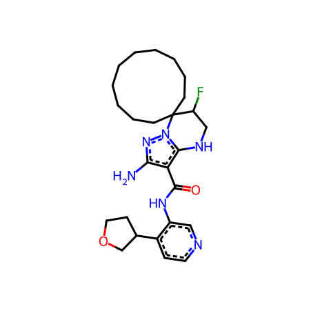 Nc1nn2c(c1C(=O)Nc1cnccc1C1CCOC1)NCC(F)C21CCCCCCCCCC1